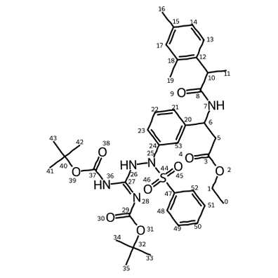 CCOC(=O)CC(NC(=O)C(C)c1ccc(C)cc1C)c1cccc(N(NC(=NC(=O)OC(C)(C)C)NC(=O)OC(C)(C)C)S(=O)(=O)c2ccccc2)c1